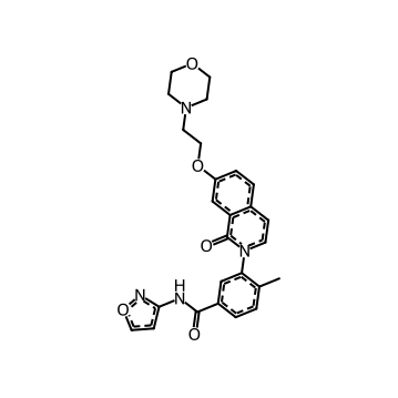 Cc1ccc(C(=O)Nc2ccon2)cc1-n1ccc2ccc(OCCN3CCOCC3)cc2c1=O